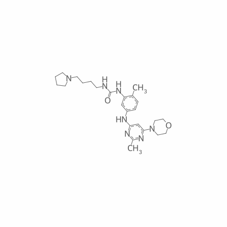 Cc1nc(Nc2ccc(C)c(NC(=O)NCCCCN3CCCC3)c2)cc(N2CCOCC2)n1